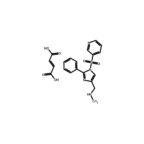 CNCc1cn(S(=O)(=O)c2cccnc2)c(-c2ccccc2)n1.O=C(O)C=CC(=O)O